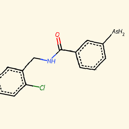 O=C(NCc1ccccc1Cl)c1c[c]cc([AsH2])c1